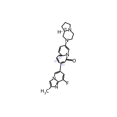 Cc1cn2cc(C3=C\C(=O)N4C=C(N5CCN6CCC[C@@H]6C5)C=C\C4=C/C=C/3)cc(F)c2n1